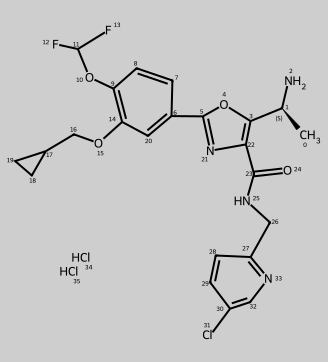 C[C@H](N)c1oc(-c2ccc(OC(F)F)c(OCC3CC3)c2)nc1C(=O)NCc1ccc(Cl)cn1.Cl.Cl